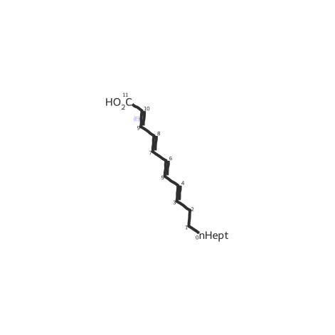 CCCCCCCCCC=CC=CC=C/C=C/C(=O)O